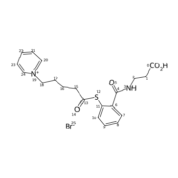 O=C(O)CCNC(=O)c1ccccc1SC(=O)CCCC[n+]1ccccc1.[Br-]